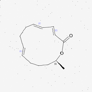 C[C@H]1CCC/C=C/CC/C=C/C=C/C(=O)O1